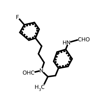 CC(Cc1ccc(NC=O)cc1)N(C=O)CCCc1ccc(F)cc1